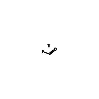 O=CF.[Ti]